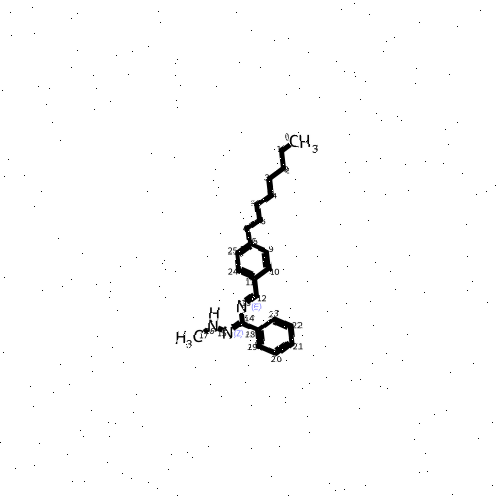 CCCCCCCCc1ccc(/C=N/C(=N\NC)c2ccccc2)cc1